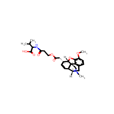 COc1ccc2c3c1O[C@H]1[C@@H](CC(=O)OCCC(=O)NC(C(=O)O)C(C)C)C=CC4[C@@H](C2)N(C)CC[C@@]341